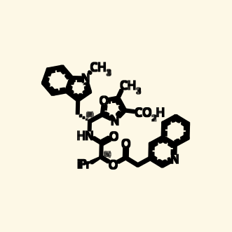 Cc1oc([C@@H](Cc2cn(C)c3ccccc23)NC(=O)[C@@H](OC(=O)Cc2cnc3ccccc3c2)C(C)C)nc1C(=O)O